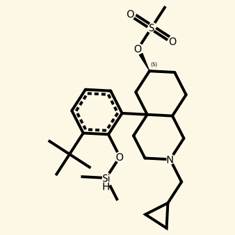 C[SiH](C)Oc1c(C(C)(C)C)cccc1C12CCN(CC3CC3)CC1CC[C@H](OS(C)(=O)=O)C2